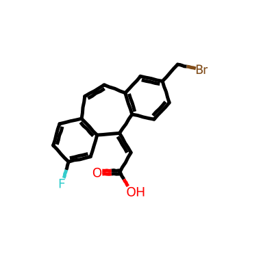 O=C(O)C=C1c2ccc(CBr)cc2C=Cc2ccc(F)cc21